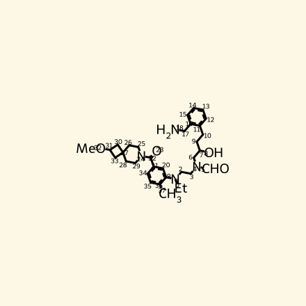 CCN(CCN(C=O)CC(O)CCc1ccccc1CN)c1cc(C(=O)N2CCC3(CC2)CC(OC)C3)ccc1C